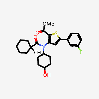 COC(=O)c1sc(-c2cccc(F)c2)cc1N(C(=O)C1(C)CCCCC1)C1CCC(O)CC1